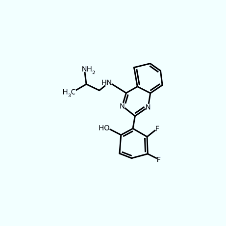 CC(N)CNc1nc(-c2c(O)ccc(F)c2F)nc2ccccc12